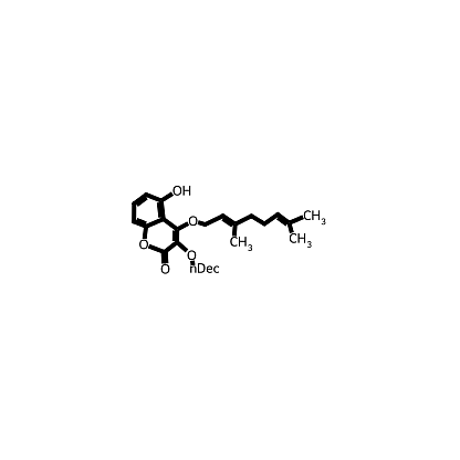 CCCCCCCCCCOc1c(OC/C=C(\C)CCC=C(C)C)c2c(O)cccc2oc1=O